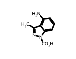 Cc1nn(C(=O)O)c2cccc(N)c12